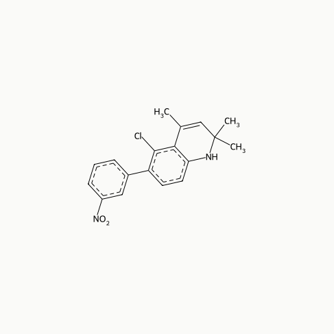 CC1=CC(C)(C)Nc2ccc(-c3cccc([N+](=O)[O-])c3)c(Cl)c21